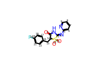 O=C1N/C(=N\c2ccccn2)S(=O)(=O)C1Cc1ccc(F)cc1